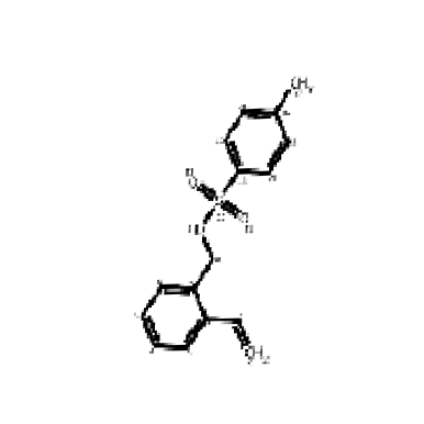 C=Cc1ccccc1COS(=O)(=O)c1ccc(C)cc1